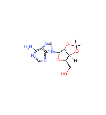 CC1(C)OC2[C@@H](O1)[C@@H](CO)O[C@H]2n1cnc2c(N)ncnc21